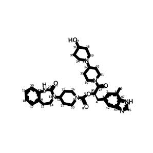 Cc1cc(C[C@@H](OC(=O)N2CCC(N3CCc4ccccc4NC3=O)CC2)C(=O)N2CCC(N3CCC(O)CC3)CC2)cc2nc[nH]c12